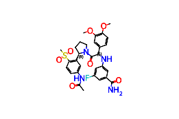 COc1ccc([C@H](Nc2cc(F)cc(C(N)=O)c2)C(=O)N2CCC[C@@H]2c2cc(NC(C)=O)ccc2S(C)(=O)=O)cc1OC